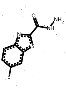 NNC(=O)c1nc2ccc(F)cc2s1